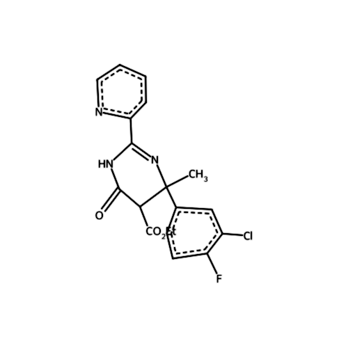 CCOC(=O)C1C(=O)NC(c2ccccn2)=NC1(C)c1ccc(F)c(Cl)c1